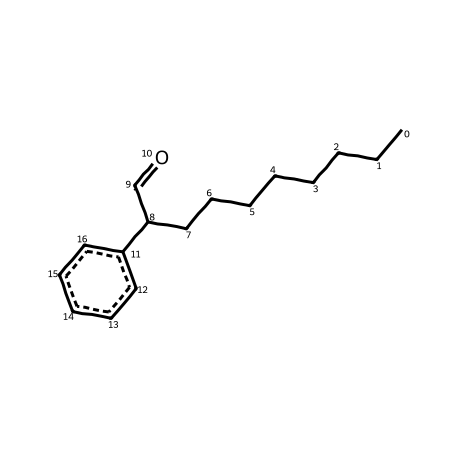 CCCCCCCCC([C]=O)c1ccccc1